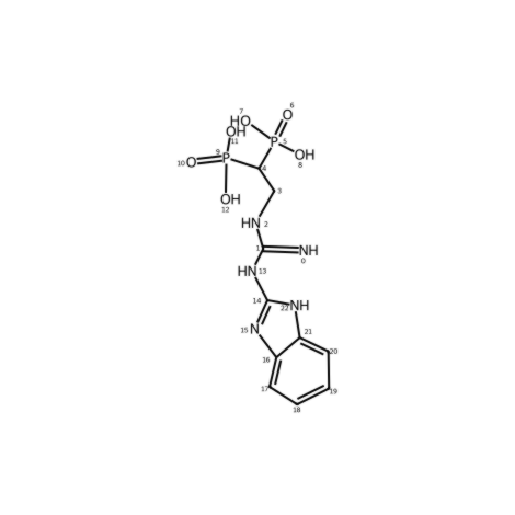 N=C(NCC(P(=O)(O)O)P(=O)(O)O)Nc1nc2ccccc2[nH]1